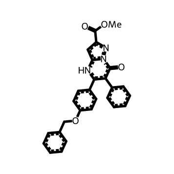 COC(=O)c1cc2[nH]c(-c3ccc(OCc4ccccc4)cc3)c(-c3ccccc3)c(=O)n2n1